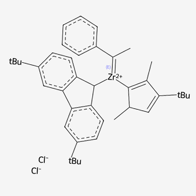 CC1=[C](/[Zr+2](=[C](\C)c2ccccc2)[CH]2c3ccc(C(C)(C)C)cc3-c3cc(C(C)(C)C)ccc32)C(C)C=C1C(C)(C)C.[Cl-].[Cl-]